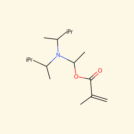 C=C(C)C(=O)OC(C)N(C(C)C(C)C)C(C)C(C)C